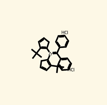 CC(C)(C)C1=[C]([Zr]([C]2=C(C(C)(C)C)C=CC2)=[C](c2ccccc2)c2ccccc2)CC=C1.Cl.Cl